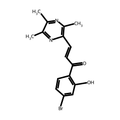 Cc1nc(C)c(/C=C/C(=O)c2ccc(Br)cc2O)nc1C